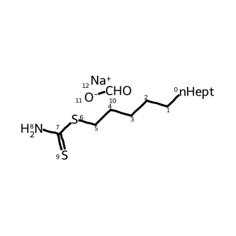 CCCCCCCCCCCCSC(N)=S.O=C[O-].[Na+]